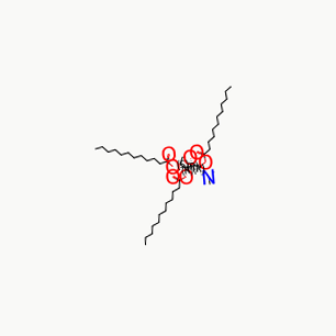 CCCCCCCCCCCC(=O)O[C@H]1[C@@H]([C@@H](CN(C)C)OC(=O)CCCCCCCCCCC)OC[C@@H]1OC(=O)CCCCCCCCCCC